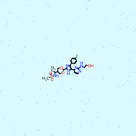 CC(NS(C)(=O)=O)C1COC(c2nc(-c3ccc(F)cc3)c(-c3ccnc(NCCO)n3)[nH]2)OC1